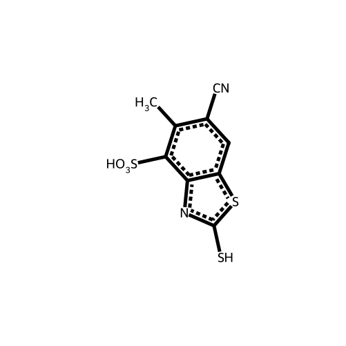 Cc1c(C#N)cc2sc(S)nc2c1S(=O)(=O)O